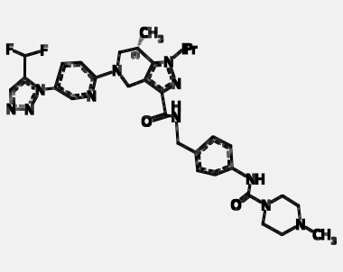 CC(C)n1nc(C(=O)NCc2ccc(NC(=O)N3CCN(C)CC3)cc2)c2c1[C@@H](C)CN(c1ccc(-n3nncc3C(F)F)cn1)C2